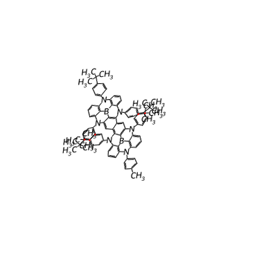 Cc1ccc(N2c3cccc4c3B3c5c2cccc5N(c2ccc(C(C)(C)C)cc2)c2c3c(cc3c5c6c(cc23)N(c2ccc(C(C)(C)C)cc2)c2cccc3c2B6c2c(cccc2N5c2ccc(C(C)(C)C)cc2)N3c2ccc(C(C)(C)C)cc2)N4c2ccc(C(C)(C)C)cc2)cc1